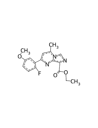 CCOC(=O)c1ncn2c(C)cc(-c3cc(OC)ccc3F)nc12